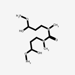 CN(CCC(O)OP)C(=O)N(C)CCC(O)OP